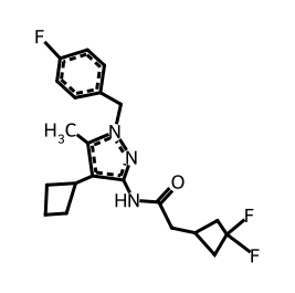 Cc1c(C2CCC2)c(NC(=O)CC2CC(F)(F)C2)nn1Cc1ccc(F)cc1